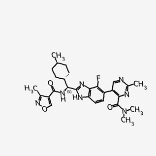 Cc1ncc(-c2ccc3[nH]c([C@@H](NC(=O)c4conc4C)[C@H]4CC[C@H](C)CC4)nc3c2F)c(C(=O)N(C)C)n1